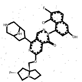 O=c1c2cc(OC[C@@]34CCCN3C[C@H](F)C4)nc(C3CC4CNCC(C3)N4)c2cnn1-c1cc(O)cc2ccc(F)c(Cl)c12